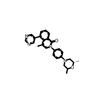 Cc1cn(-c2ccc(N3CC(C)O[C@@H](C)C3)cc2)c(=O)c2cccc(-c3cncnc3)c12